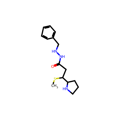 CSC(CC(=O)NNCc1ccccc1)C1CCCN1